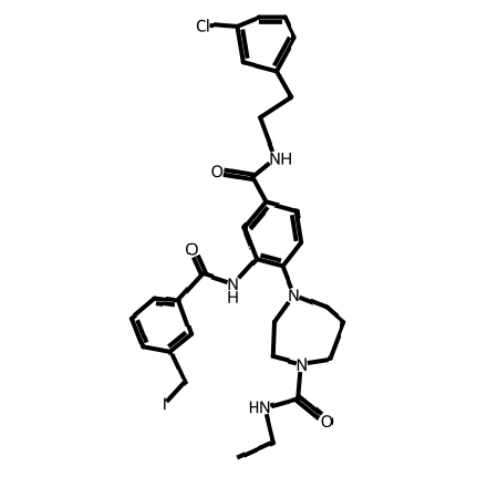 CCNC(=O)N1CCCN(c2ccc(C(=O)NCCc3cccc(Cl)c3)cc2NC(=O)c2cccc(CI)c2)CC1